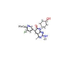 CCNc1nc(C)c2cc(-c3cnc(OC)c(F)c3)c(=O)n([C@H]3CC[C@H](O)CC3)c2n1